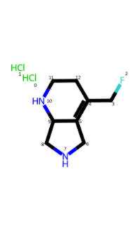 Cl.Cl.FCC1=C2CNCC2NCC1